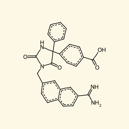 N=C(N)c1ccc2ccc(CN3C(=O)NC(c4ccccc4)(c4ccc(C(=O)O)cc4)C3=O)cc2c1